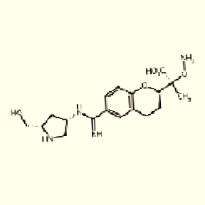 C[C@@](ON)(C(=O)O)[C@H]1CCc2cc(C(=N)N[C@@H]3CN[C@H](CO)C3)ccc2O1